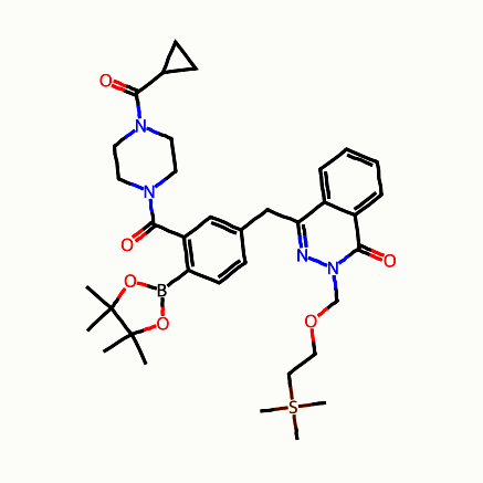 CC1(C)OB(c2ccc(Cc3nn(COCCS(C)(C)C)c(=O)c4ccccc34)cc2C(=O)N2CCN(C(=O)C3CC3)CC2)OC1(C)C